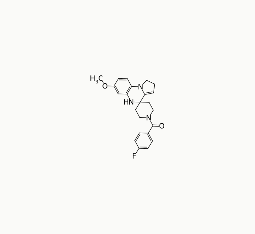 COc1ccc2c(c1)NC1(CCN(C(=O)c3ccc(F)cc3)CC1)C1=CCCN12